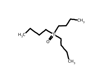 CCC[CH2][Ti](=[O])([CH2]CCC)[CH2]CCC